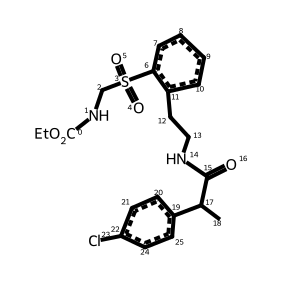 CCOC(=O)NCS(=O)(=O)c1ccccc1CCNC(=O)C(C)c1ccc(Cl)cc1